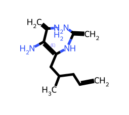 C=CCC(C)C/C(NC(=C)N)=C(\N)C(=C)N